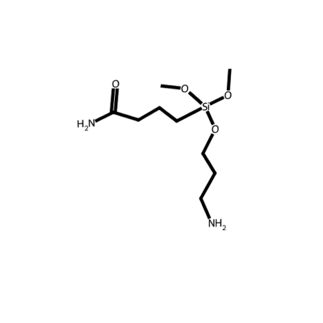 CO[Si](CCCC(N)=O)(OC)OCCCN